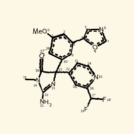 COc1cc(-c2cnco2)cc(C2(c3ccnc(C(F)F)c3)N=C(N)N(C)C2=O)c1